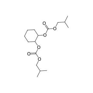 CC(C)COC(=O)OC1CCCCC1OC(=O)OCC(C)C